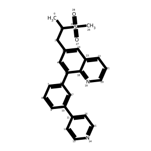 CC(Cc1cc(-c2cccc(-c3ccncc3)c2)c2ncccc2c1)S(C)(=O)=O